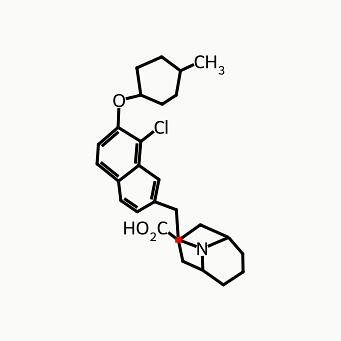 CC1CCC(Oc2ccc3ccc(CCN4C5CCCC4CC(C(=O)O)C5)cc3c2Cl)CC1